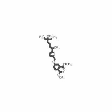 CCC(O)(CC)CCC=C(C)c1ccc(COc2ccc(C(=O)OC)c(C(=O)OC)c2)s1